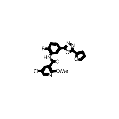 COc1ncc(Cl)cc1C(=O)Nc1cc(-c2nnc(-c3ccco3)o2)ccc1F